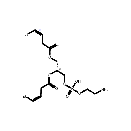 CC/C=C\CC(=O)OC[C@H](COP(=O)(O)OCCN)OC(=O)C/C=C\CC